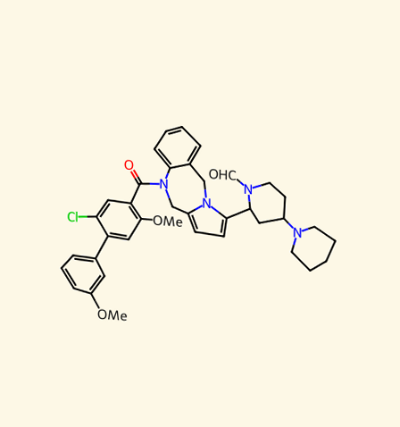 COc1cccc(-c2cc(OC)c(C(=O)N3Cc4ccc(C5CC(N6CCCCC6)CCN5C=O)n4Cc4ccccc43)cc2Cl)c1